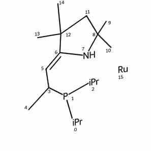 CC(C)P(C(C)C)C(C)C=C1NC(C)(C)CC1(C)C.[Ru]